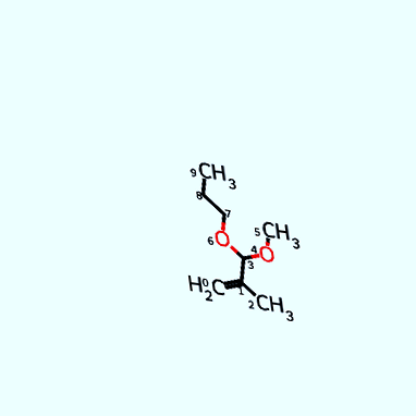 C=C(C)C(OC)OCCC